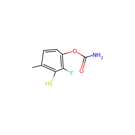 Cc1ccc(OC(N)=O)c(F)c1S